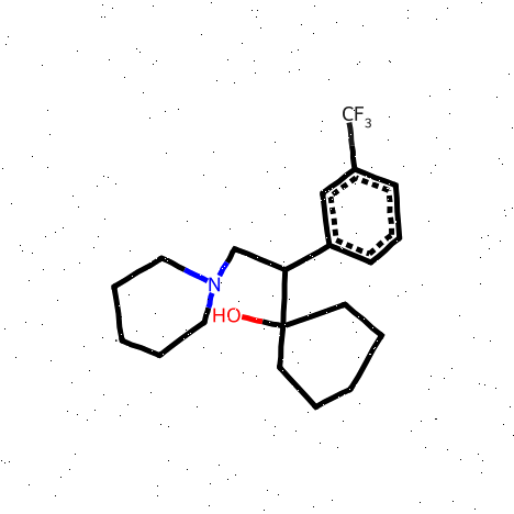 OC1(C(CN2CC[CH]CC2)c2cccc(C(F)(F)F)c2)CCCCC1